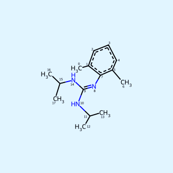 Cc1cccc(C)c1N=C(NC(C)C)NC(C)C